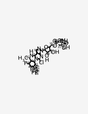 C[C@H](Nc1nc(Cl)nc2c1cnn2C1OC(COP(=O)(O)CP(=O)(O)O)C(O)C1O)c1ccc(S(F)(F)(F)(F)F)cc1F